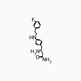 NC(=O)CC(N)Cc1ccc(NCCc2cccc(F)c2)cc1